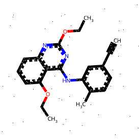 C#Cc1ccc(C)c(Nc2nc(OCC)nc3cccc(OCC)c23)c1